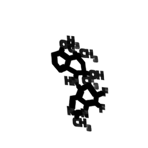 Cc1ncc2c(NC3c4cccc(O)c4C(C)(C)CC3(O)C(F)(F)F)cc(F)c(F)c2n1